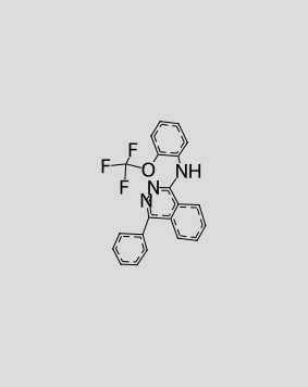 FC(F)(F)Oc1ccccc1Nc1nnc(-c2ccccc2)c2ccccc12